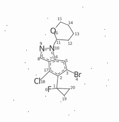 FC1(c2c(Br)cc3c(cnn3C3CCCCO3)c2Cl)CC1